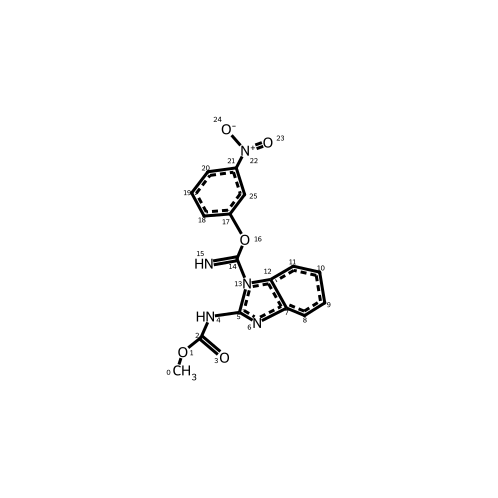 COC(=O)Nc1nc2ccccc2n1C(=N)Oc1cccc([N+](=O)[O-])c1